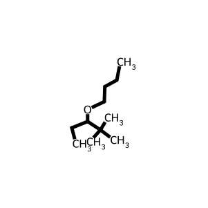 CCCCOC(CC)C(C)(C)C